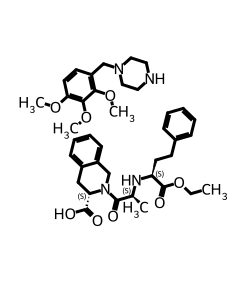 CCOC(=O)[C@H](CCc1ccccc1)N[C@@H](C)C(=O)N1Cc2ccccc2C[C@H]1C(=O)O.COc1ccc(CN2CCNCC2)c(OC)c1OC